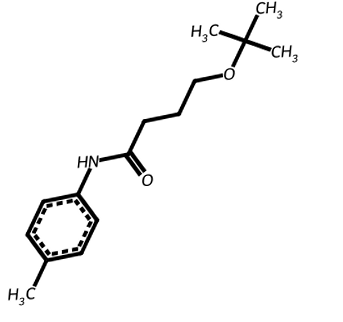 Cc1ccc(NC(=O)CCCOC(C)(C)C)cc1